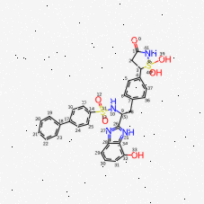 O=C1CC(c2ccc(C[C@H](NS(=O)(=O)c3ccc(-c4ccccc4)cc3)c3nc4cccc(O)c4[nH]3)cc2)S(O)(O)N1